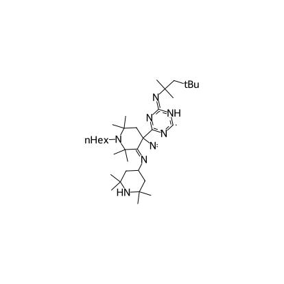 [CH2]CCCCCN1C(C)(C)CC([N])(c2n[c][nH]c(=NC(C)(C)CC(C)(C)C)n2)C(=NC2CC(C)(C)NC(C)(C)C2)C1(C)C